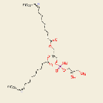 CCCCCCCC/C=C\CCCCCCCC(=O)OC[C@H](COP(=O)(O)OC[C@@H](O)CO)OC(=O)CCCCCCC/C=C\CCCCCCCC